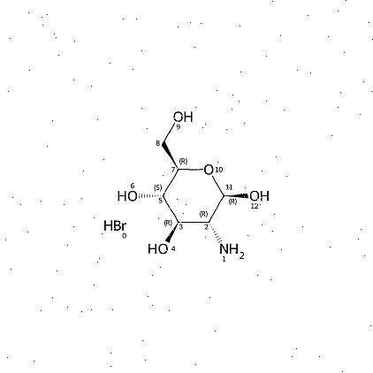 Br.N[C@@H]1[C@@H](O)[C@H](O)[C@@H](CO)O[C@H]1O